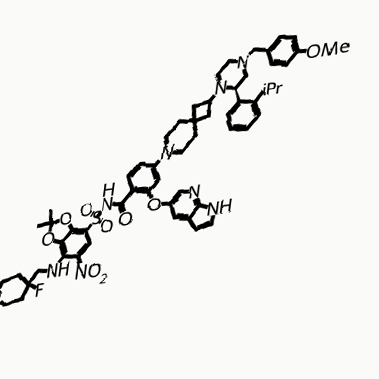 COc1ccc(CN2CCN(C3CC4(CCN(c5ccc(C(=O)NS(=O)(=O)c6cc([N+](=O)[O-])c(NCC7(F)CCOCC7)c7c6OC(C)(C)O7)c(Oc6cnc7[nH]ccc7c6)c5)CC4)C3)[C@H](c3ccccc3C(C)C)C2)cc1